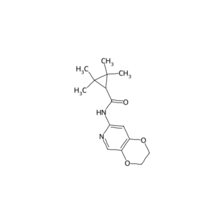 CC1(C)C(C(=O)Nc2cc3c(cn2)OCCO3)C1(C)C